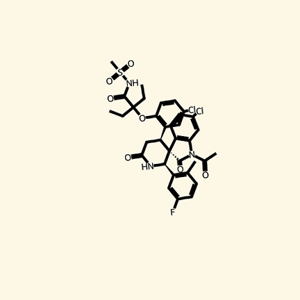 CCC(CC)(Oc1ccc(Cl)cc1[C@@H]1CC(=O)N[C@H](c2cc(F)ccc2C)[C@@]12C(=O)N(C(C)=O)c1cc(Cl)ccc12)C(=O)NS(C)(=O)=O